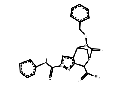 NC(=O)C1c2nn(C(=O)Nc3ccccc3)cc2C2CN1C(=O)N2OCc1ccccc1